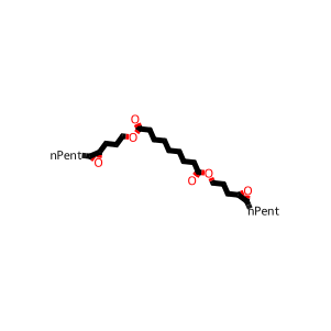 CCCCCC1OC1CCCOC(=O)CCCCCCCC(=O)OCCCC1OC1CCCCC